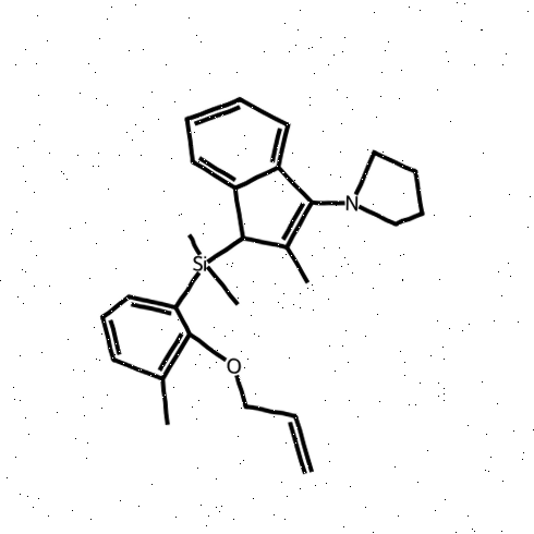 C=CCOc1c(C)cccc1[Si](C)(C)C1C(C)=C(N2CCCC2)c2ccccc21